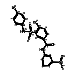 O=C(Nc1cccc([N+](=O)[O-])c1)c1ccc(Br)c(S(=O)(=O)Nc2ccc(Br)cc2)c1